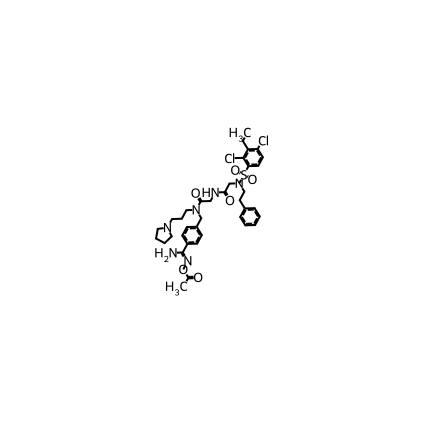 CCc1c(Cl)ccc(S(=O)(=O)N(CCc2ccccc2)CC(=O)NCC(=O)N(CCCN2CCCC2)Cc2ccc(C(N)=NOC(C)=O)cc2)c1Cl